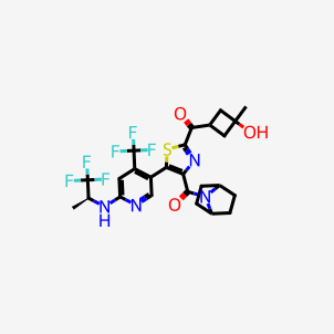 C[C@H](Nc1cc(C(F)(F)F)c(-c2sc(C(=O)C3CC(C)(O)C3)nc2C(=O)N2C3CCC2CC3)cn1)C(F)(F)F